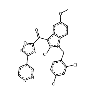 COc1ccc2c(c1)c(C(=O)c1nc(-c3ccnnc3)no1)c(Cl)n2Cc1ccc(Cl)cc1Cl